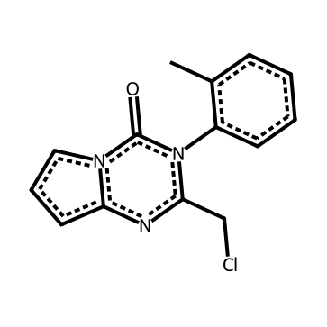 Cc1ccccc1-n1c(CCl)nc2cccn2c1=O